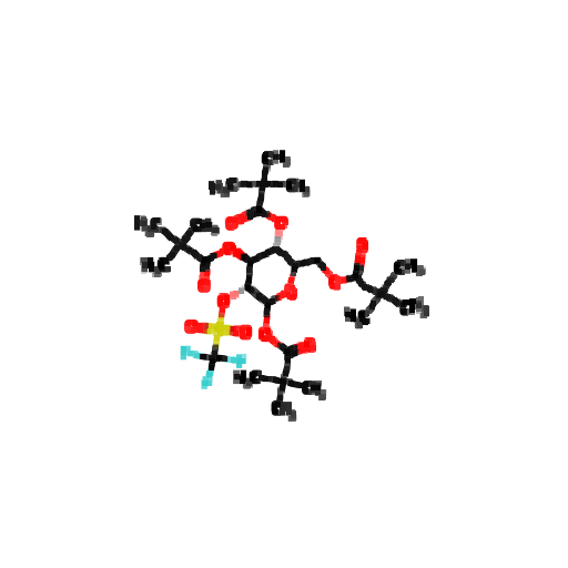 CC(C)(C)C(=O)OCC1OC(OC(=O)C(C)(C)C)[C@H](OS(=O)(=O)C(F)(F)F)[C@@H](OC(=O)C(C)(C)C)[C@@H]1OC(=O)C(C)(C)C